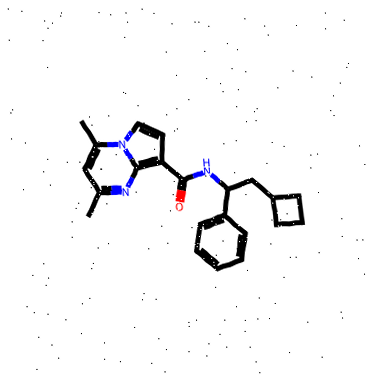 Cc1cc(C)n2ccc(C(=O)NC(CC3CCC3)c3ccccc3)c2n1